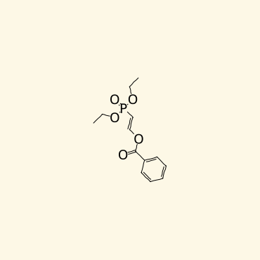 CCOP(=O)(C=COC(=O)c1ccccc1)OCC